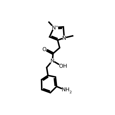 Cn1c[n+](C)cc1CC(=O)N(O)Cc1cccc(N)c1